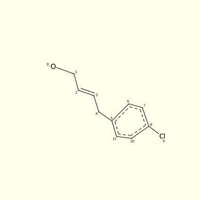 [O]CC=CCc1ccc(Cl)cc1